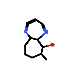 CC1CCCC2N=C=CC=NC2C1Br